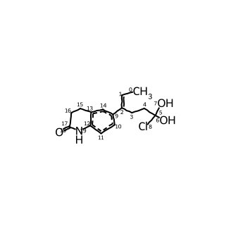 CC=C(CCC(O)(O)Cl)c1ccc2c(c1)CCC(=O)N2